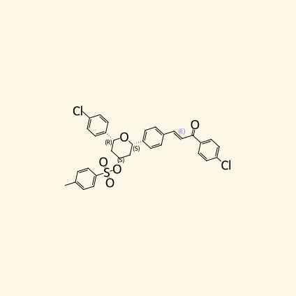 Cc1ccc(S(=O)(=O)O[C@H]2C[C@@H](c3ccc(/C=C/C(=O)c4ccc(Cl)cc4)cc3)O[C@@H](c3ccc(Cl)cc3)C2)cc1